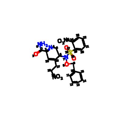 NC(=O)C1=NCC(N(OCc2ccccc2)S(=O)(=O)c2ccccc2[N+](=O)[O-])C(CC[N+](=O)[O-])=C1